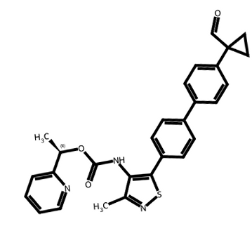 Cc1nsc(-c2ccc(-c3ccc(C4(C=O)CC4)cc3)cc2)c1NC(=O)O[C@H](C)c1ccccn1